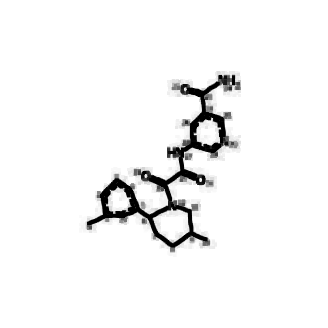 Cc1cccc(C2CCC(C)CN2C(=O)C(=O)Nc2cncc(C(N)=O)c2)c1